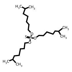 CC(C)CCCCCOP(=S)(OCCCCCC(C)C)OCCCCCC(C)C